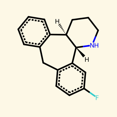 Fc1ccc2c(c1)[C@H]1NCCC[C@@H]1c1ccccc1C2